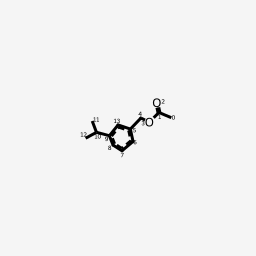 CC(=O)OCc1cccc(C(C)C)c1